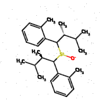 Cc1ccccc1C([C@H](C)C(C)C)[S+]([O-])C(c1ccccc1C)[C@H](C)C(C)C